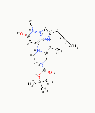 CC#CCc1cn2c(n1)c(N1CCN(C(=O)OC(C)(C)C)CC1CC)cc(=O)n2C